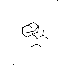 CC(C)N(C(C)C)C12CC3CC(CC(C3)C1)C2